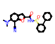 CN(C)c1ccc2cc(C(=O)N[S+]([O-])c3ccccc3-c3ccccc3)oc2c1C#N